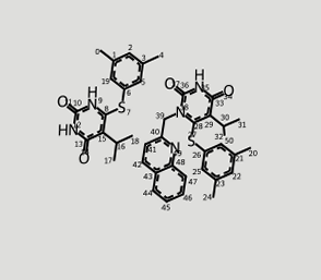 Cc1cc(C)cc(Sc2[nH]c(=O)[nH]c(=O)c2C(C)C)c1.Cc1cc(C)cc(Sc2c(C(C)C)c(=O)[nH]c(=O)n2Cc2ccc3ccccc3n2)c1